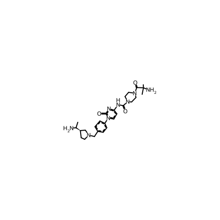 CC(N)[C@@H]1CCN(Cc2ccc(-n3ccc(NC(=O)N4CCN(C(=O)C(C)(C)N)CC4)nc3=O)cc2)C1